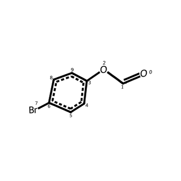 O=[C]Oc1ccc(Br)cc1